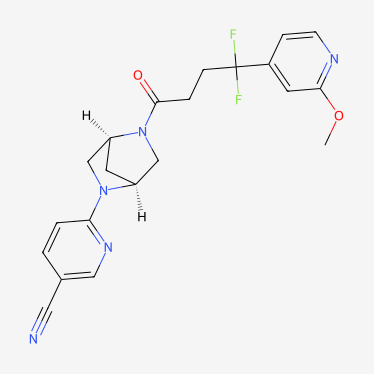 COc1cc(C(F)(F)CCC(=O)N2C[C@@H]3C[C@H]2CN3c2ccc(C#N)cn2)ccn1